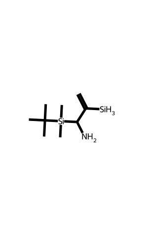 C=C([SiH3])C(N)[Si](C)(C)C(C)(C)C